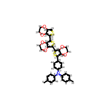 Cc1ccc(N(c2ccc(C)cc2)c2ccc(-c3sc(-c4sc(-c5scc6c5OCCO6)c5c4OCCO5)c4c3OCCO4)cc2)cc1